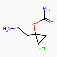 Cl.NCCC1(OC(N)=O)CC1